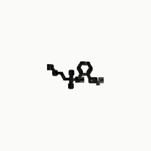 CCOCCS(=O)(=O)Nc1ccccc1C(=O)O